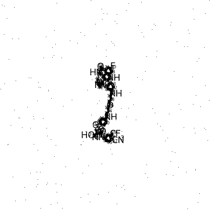 C[C@@H](O)C(CS(=O)(=O)c1ccc(NCCCOCCCNc2ccc([C@H]3Nc4cc(F)cc5c(=O)[nH]nc(c45)[C@@H]3c3ncnn3C)cc2)cc1)C(=O)Nc1ccc(C#N)c(C(F)(F)F)c1